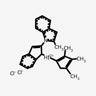 CC1=C(C)C(C)=[C]([Hf+2][CH]2C(n3c(C)cc4ccccc43)=Cc3ccccc32)C1.[Cl-].[Cl-]